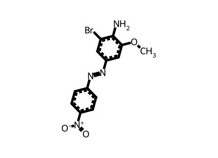 COc1cc(/N=N/c2ccc([N+](=O)[O-])cc2)cc(Br)c1N